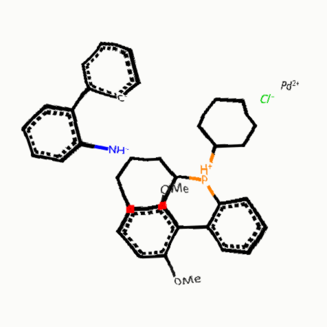 COc1cccc(OC)c1-c1ccccc1[PH+](C1CCCCC1)C1CCCCC1.[Cl-].[NH-]c1ccccc1-c1[c-]cccc1.[Pd+2]